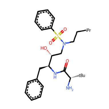 CC(C)CCN(C[C@@H](O)[C@H](Cc1ccccc1)NC(=O)[C@@H](N)C(C)(C)C)S(=O)(=O)c1ccccc1